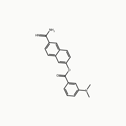 CN(C)c1cccc(C(=O)Oc2ccc3cc(C(=N)N)ccc3c2)c1